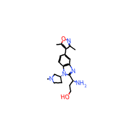 Cc1noc(C)c1-c1ccc2c(c1)nc([C@@H](N)CCO)n2[C@@H]1CCN(C)C1